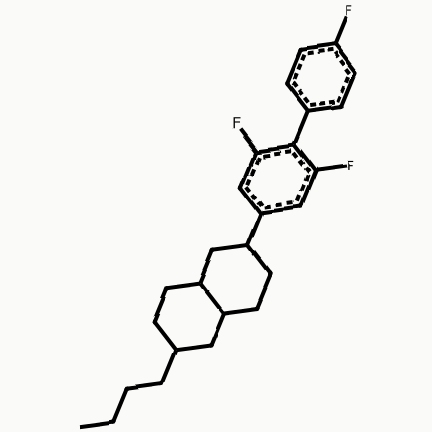 CCCCC1CCC2CC(c3cc(F)c(-c4ccc(F)cc4)c(F)c3)CCC2C1